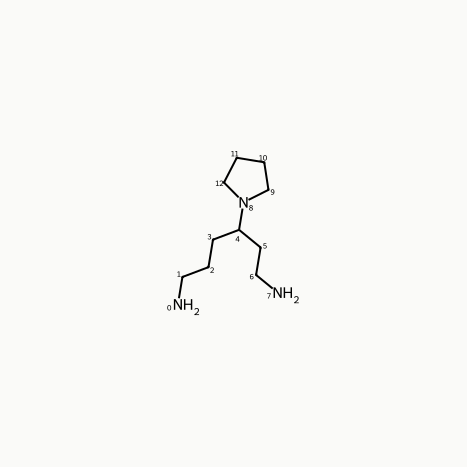 NCCCC(CCN)N1CCCC1